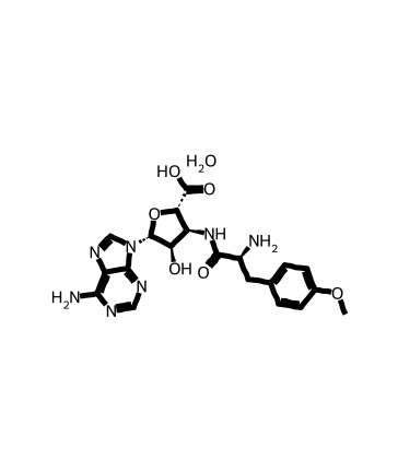 COc1ccc(C[C@H](N)C(=O)N[C@H]2[C@@H](O)[C@H](n3cnc4c(N)ncnc43)O[C@@H]2C(=O)O)cc1.O